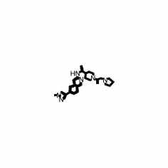 C=C(Nc1cc2cc(-c3cnn(C)c3)ccc2cn1)C1CCN(C(=C)CN2CCCC2)CC1